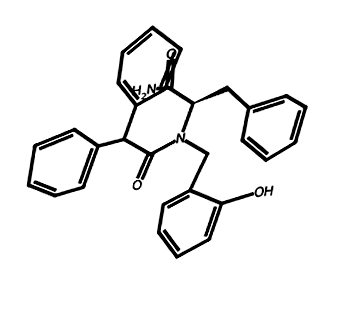 NC(=O)[C@@H](Cc1ccccc1)N(Cc1ccccc1O)C(=O)C(c1ccccc1)c1ccccc1